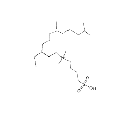 CCC(CCCC(C)CCCC(C)C)CC[N+](C)(C)CCCCS(=O)(=O)O